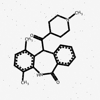 Cc1ccc(C)c2c1NC(=O)c1ccccc1C2C(=O)C1CCN(C)CC1